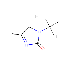 CCCCCCCC(C)(CCC)N1CC(C=O)=NC1=O